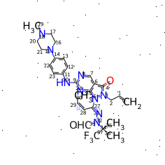 C=CCn1c(=O)c2cnc(Nc3ccc(N4CCN(C)CC4)cc3)nc2n1C(/C=C\C)=N/N(C=O)C(C)(C)C(F)(F)F